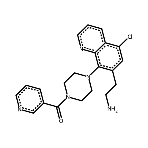 NCCc1cc(Cl)c2cccnc2c1N1CCN(C(=O)c2cccnc2)CC1